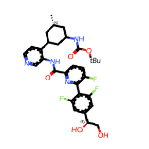 C[C@@H]1CC(NC(=O)OC(C)(C)C)CC(c2ccncc2NC(=O)c2ccc(F)c(-c3c(F)cc([C@H](O)CO)cc3F)n2)C1